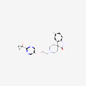 O=C1Nc2ccc(Cl)cc2C12CCN(CCOc1cnc(C3(O)CC3)nc1)CC2